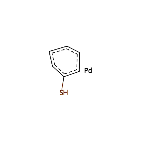 Sc1cc[c]cc1.[Pd]